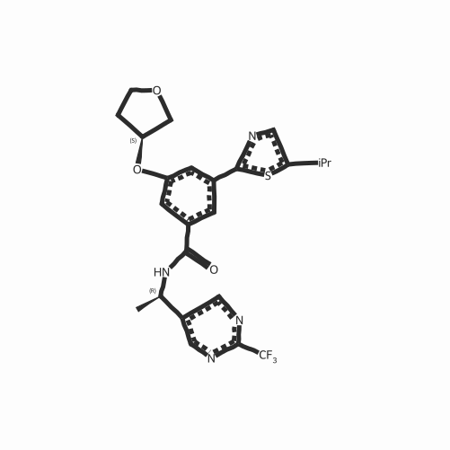 CC(C)c1cnc(-c2cc(O[C@H]3CCOC3)cc(C(=O)N[C@H](C)c3cnc(C(F)(F)F)nc3)c2)s1